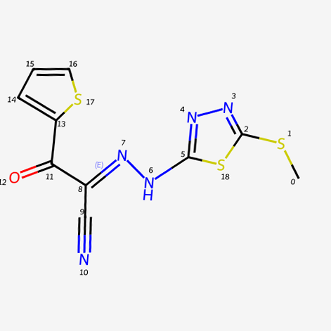 CSc1nnc(N/N=C(\C#N)C(=O)c2cccs2)s1